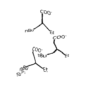 CCCCC(CC)C(=O)[O-].CCCCC(CC)C(=O)[O-].CCCCC(CC)C(=O)[O-].[Sb+3]